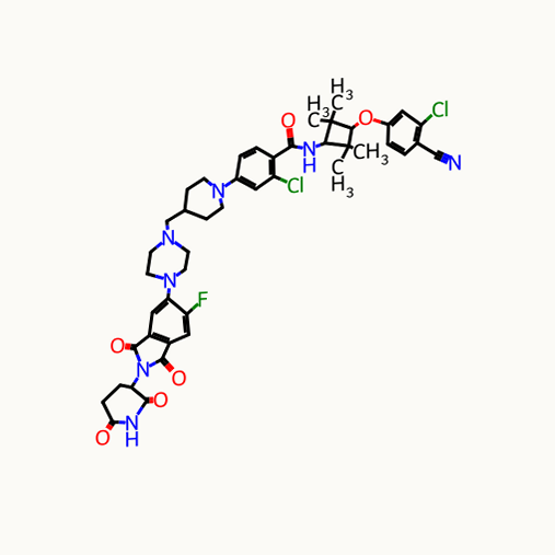 CC1(C)C(NC(=O)c2ccc(N3CCC(CN4CCN(c5cc6c(cc5F)C(=O)N(C5CCC(=O)NC5=O)C6=O)CC4)CC3)cc2Cl)C(C)(C)C1Oc1ccc(C#N)c(Cl)c1